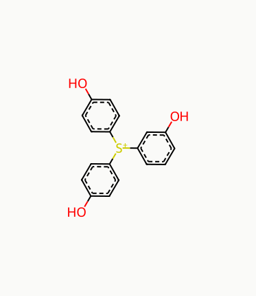 Oc1ccc([S+](c2ccc(O)cc2)c2cccc(O)c2)cc1